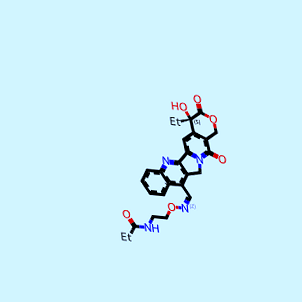 CCC(=O)NCCO/N=C\c1c2c(nc3ccccc13)-c1cc3c(c(=O)n1C2)COC(=O)[C@]3(O)CC